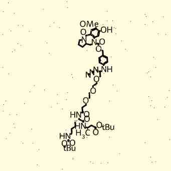 COc1cc2c(cc1O)N(C(=O)OCc1ccc(NC(COCCOCCOCCC(=O)N[C@@H](CCCCNC(=O)OC(C)(C)C)C(=O)N[C@@H](C)CC(=O)OC(C)(C)C)N=[N+]=[N-])cc1)CC1CCCN1C2=O